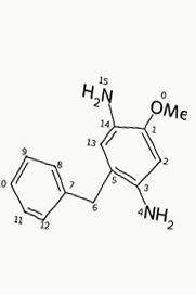 COc1cc(N)c(Cc2ccccc2)cc1N